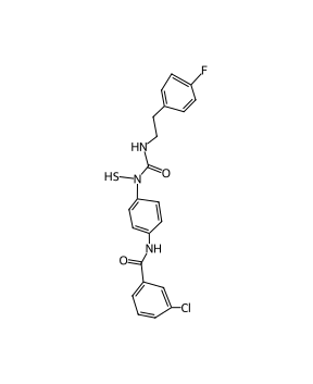 O=C(Nc1ccc(N(S)C(=O)NCCc2ccc(F)cc2)cc1)c1cccc(Cl)c1